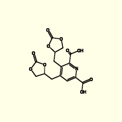 O=C1OCC(Cc2cc(C(=O)O)nc(C(=O)O)c2CC2COC(=O)O2)O1